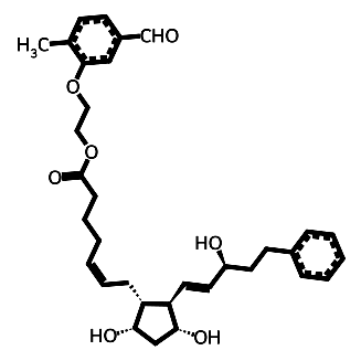 Cc1ccc(C=O)cc1OCCOC(=O)CCC/C=C\C[C@@H]1[C@@H](/C=C/[C@@H](O)CCc2ccccc2)[C@H](O)C[C@@H]1O